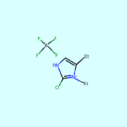 CCc1c[nH]c(Cl)[n+]1CC.F[B-](F)(F)F